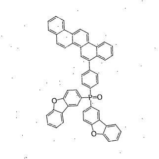 O=P(c1ccc(-c2cc3c(ccc4c5ccccc5ccc43)c3ccccc23)cc1)(c1ccc2oc3ccccc3c2c1)c1ccc2oc3ccccc3c2c1